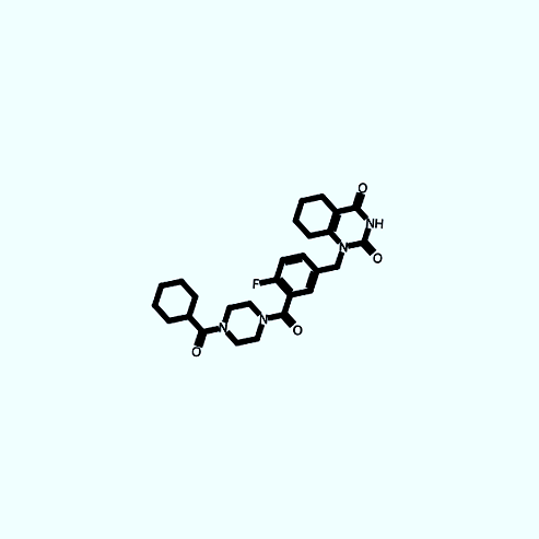 O=C(c1cc(Cn2c3c(c(=O)[nH]c2=O)CCCC3)ccc1F)N1CCN(C(=O)C2CCCCC2)CC1